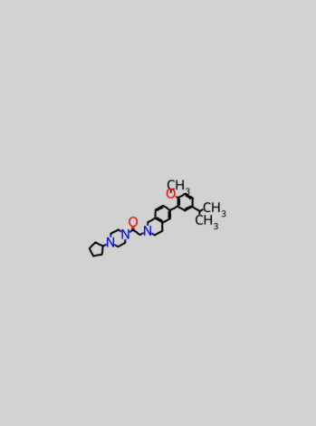 COc1ccc(C(C)C)cc1-c1ccc2c(c1)CCN(CC(=O)N1CCN(C3CCCC3)CC1)C2